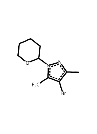 Cc1nn(C2CCCCO2)c(C(F)(F)F)c1Br